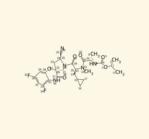 CC(C)OC(=O)N[C@@H](C)C(=O)N(C)[C@@H](CC1CC1)C(=O)N1C[C@@]2(C[C@H]1C#N)Oc1cc(F)cc(F)c1NC2=O